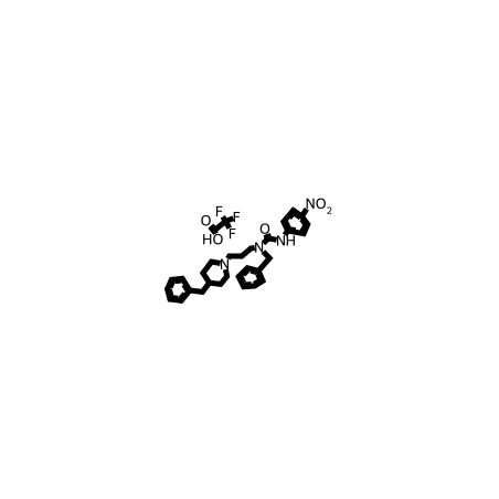 O=C(Nc1ccc([N+](=O)[O-])cc1)N(CCCN1CCC(Cc2ccccc2)CC1)Cc1ccccc1.O=C(O)C(F)(F)F